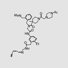 C#C/C=C\C=N/CNC(=O)Cc1cc(NC(=O)CN(Cc2ccccc2CNC)C(=O)C2(C)CCN(C(=O)CN3CCN(C(C)=O)CC3)CC2)ccc1CC